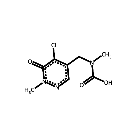 CN(Cc1cnn(C)c(=O)c1Cl)C(=O)O